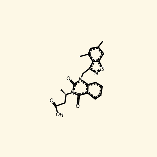 Cc1cc(C)c2c(Cn3c(=O)n([C@H](C)CC(=O)O)c(=O)c4ccccc43)nsc2c1